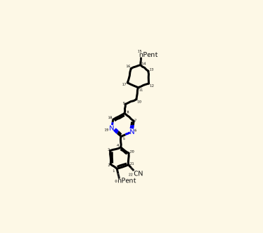 CCCCCc1ccc(-c2ncc(CCC3CCC(CCCCC)CC3)cn2)cc1C#N